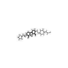 CCCC1CCC(CCc2ccc3c(oc4c(F)c(OCC5CCCC5)ccc43)c2F)CC1